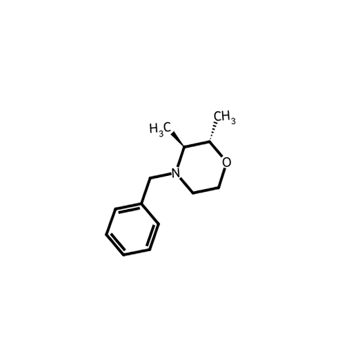 C[C@@H]1OCCN(Cc2ccccc2)[C@H]1C